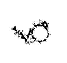 C=CC1C[C@]1(NC(=O)[C@@H]1C[C@@H]2CN1C(=O)[C@H](C(C)(C)C)NC(=O)OCCCCCCc1cccc3[nH]c(cc13)C(=O)O2)C(=O)NS(=O)(=O)C1CC1